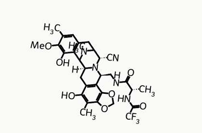 COc1c(C)cc2c(c1O)C1[C@@H]3Cc4c(O)c(C)c5c(c4[C@H](CNC(=O)[C@H](C)NC(=O)C(F)(F)F)N3[C@@H](C#N)C(C2)N1C)OCO5